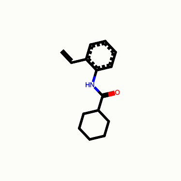 C=Cc1ccccc1NC(=O)C1CCCCC1